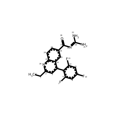 CCc1cc(-c2c(F)cc(F)cc2F)c2cc(C(=O)N=C(N)N)ccc2n1